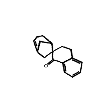 O=C1c2ccccc2CCC12CC1=CCC2C1